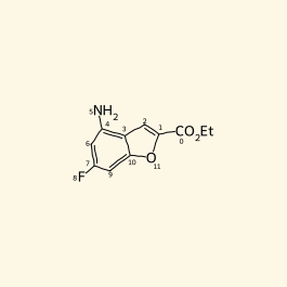 CCOC(=O)c1cc2c(N)cc(F)cc2o1